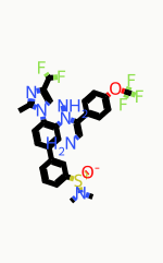 Cc1nc(C(F)F)cn1-c1ccc(-c2cccc([S+]([O-])N(C)C)c2)cc1N(N)/C(=C\N)c1ccc(OC(F)(F)F)cc1